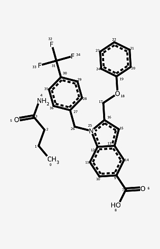 CCCC(N)=O.O=C(O)c1ccc2c(c1)cc(COc1ccccc1)n2Cc1ccc(C(F)(F)F)cc1